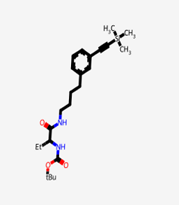 CCC(NC(=O)OC(C)(C)C)C(=O)NCCCCc1cccc(C#C[Si](C)(C)C)c1